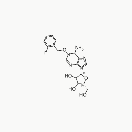 NC1c2ncn([C@@H]3O[C@H](CO)C(O)C3O)c2N=CN1OCc1ccccc1F